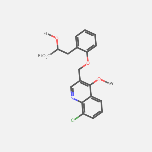 CCOC(=O)C(Cc1ccccc1OCc1cnc2c(Cl)cccc2c1OC(C)C)OCC